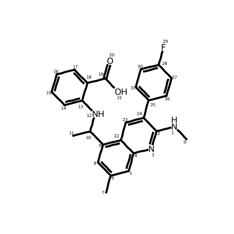 CNc1nc2cc(C)cc(C(C)Nc3ccccc3C(=O)O)c2cc1-c1ccc(F)cc1